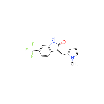 Cn1cccc1C=C1C(=O)Nc2cc(C(F)(F)F)ccc21